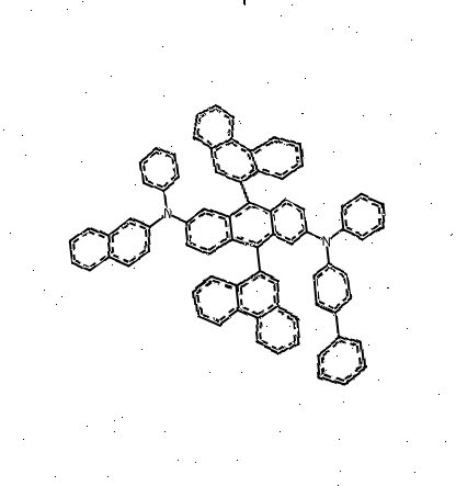 c1ccc(-c2ccc(N(c3ccccc3)c3ccc4c(-c5cc6ccccc6c6ccccc56)c5cc(N(c6ccccc6)c6ccc7ccccc7c6)ccc5c(-c5cc6ccccc6c6ccccc56)c4c3)cc2)cc1